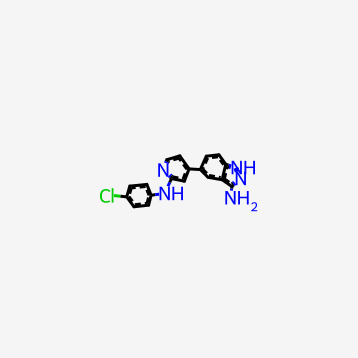 Nc1n[nH]c2ccc(-c3ccnc(Nc4ccc(Cl)cc4)c3)cc12